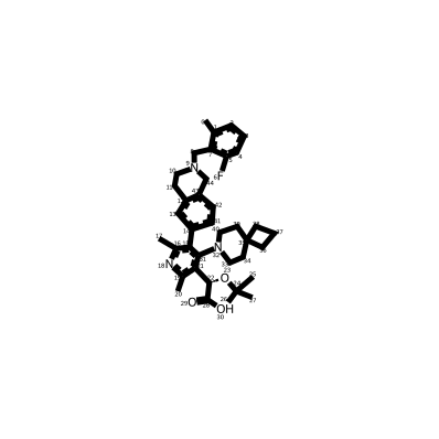 Cc1cccc(F)c1CN1CCc2cc(-c3c(C)nc(C)c([C@H](OC(C)(C)C)C(=O)O)c3N3CCC4(CCC4)CC3)ccc2C1